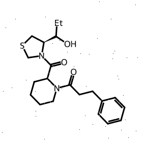 CCC(O)[C@@H]1CSCN1C(=O)C1CCCCN1C(=O)CCc1ccccc1